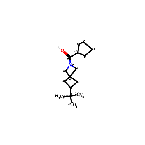 CC(C)(C)C1CC2(C1)CN(C(=O)C1CCCC1)C2